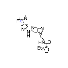 C=N/C(=C(\C)F)c1cnc(Nc2cc3c(cn2)ncn3CCNC(=O)[C@@H]2CCCN2CC)s1